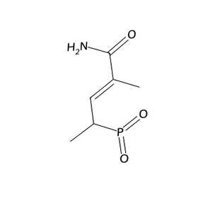 CC(=CC(C)P(=O)=O)C(N)=O